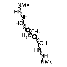 CNCCNCCNCCC(O)COc1ccc(C(C)(C)c2ccc(OCC(O)CCNCCNCCNC)cc2)cc1